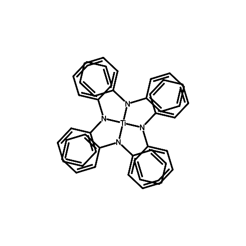 c1ccc([N](c2ccccc2)[Ti]([N](c2ccccc2)c2ccccc2)([N](c2ccccc2)c2ccccc2)[N](c2ccccc2)c2ccccc2)cc1